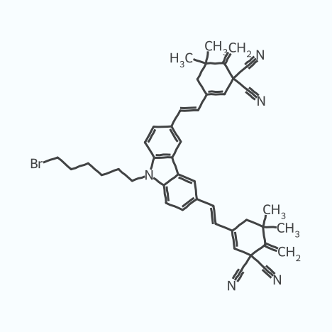 C=C1C(C#N)(C#N)C=C(C=Cc2ccc3c(c2)c2cc(C=CC4=CC(C#N)(C#N)C(=C)C(C)(C)C4)ccc2n3CCCCCCBr)CC1(C)C